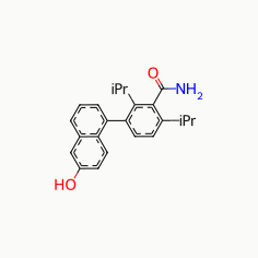 CC(C)c1ccc(-c2cccc3cc(O)ccc23)c(C(C)C)c1C(N)=O